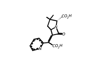 CC1(C)CC2/C(=C(/C(=O)O)c3ccccn3)C(=O)N2[C@H]1C(=O)O